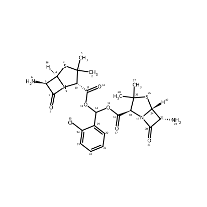 CC1(C)S[C@@H]2[C@H](N)C(=O)N2[C@H]1C(=O)OC(OC(=O)[C@@H]1N2C(=O)[C@@H](N)[C@H]2SC1(C)C)c1ccccc1Cl